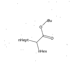 CCCCCCCC(CCCCCC)C(=O)OC(C)CC